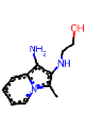 Cc1c(NCCO)c(N)c2ccccn12